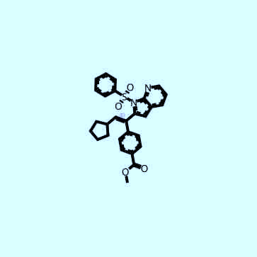 COC(=O)c1ccc(/C(=C\C2CCCC2)c2cc3cccnc3n2S(=O)(=O)c2ccccc2)cc1